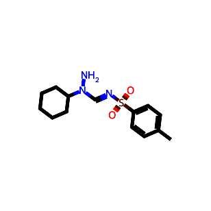 Cc1ccc(S(=O)(=O)N=CN(N)C2CCCCC2)cc1